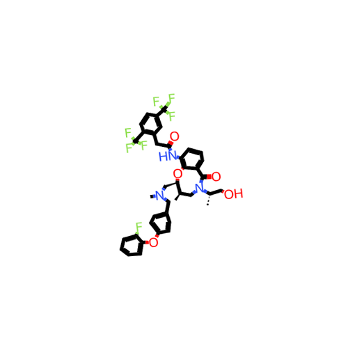 C[C@@H]1CN([C@@H](C)CO)C(=O)c2cccc(NC(=O)Cc3cc(C(F)(F)F)ccc3C(F)(F)F)c2O[C@@H]1CN(C)Cc1ccc(Oc2ccccc2F)cc1